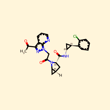 CC(=O)c1nn(CC(=O)N2C3C[C@@H]3C[C@H]2C(=O)N[C@@H]2C[C@H]2c2ccccc2Cl)c2ncccc12